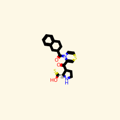 O=C(C1=CSC=CN1C(=O)C1CCc2ccccc2C1)C1CCN[C@@H]1C(O)=S